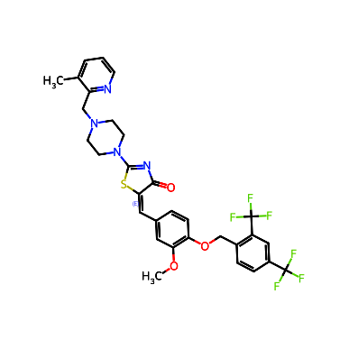 COc1cc(/C=C2/SC(N3CCN(Cc4ncccc4C)CC3)=NC2=O)ccc1OCc1ccc(C(F)(F)F)cc1C(F)(F)F